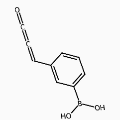 O=C=C=Cc1cccc(B(O)O)c1